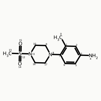 Cc1cc(N)ccc1N1CCN(S(C)(=O)=O)CC1